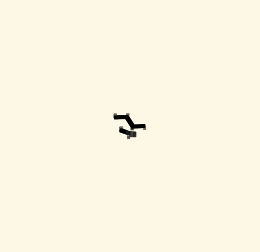 CCC.CCCC